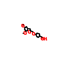 COC1=CC2C=C(COc3ccc(CO)cc3)OC2C(OC)=C1